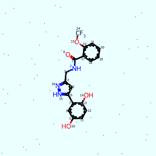 O=C(NCc1cc(-c2cc(O)ccc2O)[nH]n1)c1ccccc1OC(F)(F)F